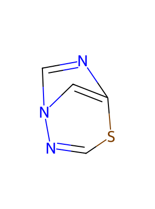 C1=Nn2cnc(c2)S1